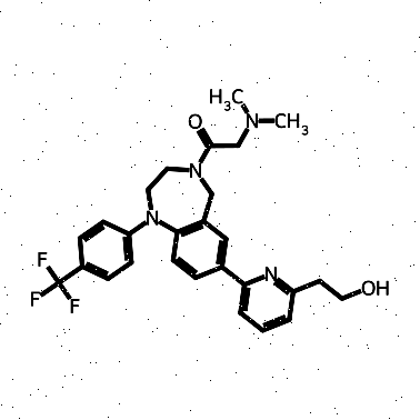 CN(C)CC(=O)N1CCN(c2ccc(C(F)(F)F)cc2)c2ccc(-c3cccc(CCO)n3)cc2C1